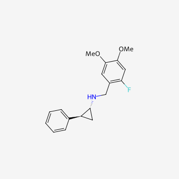 COc1cc(F)c(CN[C@@H]2C[C@H]2c2ccccc2)cc1OC